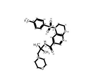 CC(C)(CN1CCOCC1)NC(=O)c1cnc2c(c1)N(S(=O)(=O)c1ccc(C(F)(F)F)cc1)CCO2